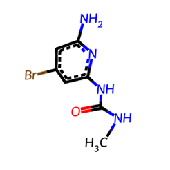 CNC(=O)Nc1cc(Br)cc(N)n1